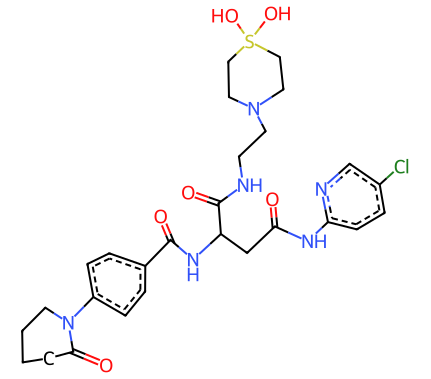 O=C(CC(NC(=O)c1ccc(N2CCCCC2=O)cc1)C(=O)NCCN1CCS(O)(O)CC1)Nc1ccc(Cl)cn1